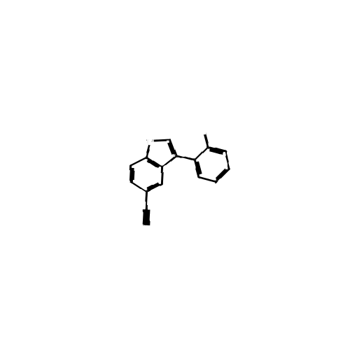 C#Cc1ccc2[nH]cc(-c3ccccc3Cl)c2c1